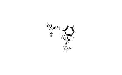 Cc1ccccc1.O=[SH](=O)[O-].O=[SH](=O)[O-].[Ca+2]